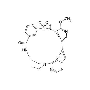 COc1ncc2cc1NS(=O)(=O)c1cccc(c1)C(=O)NCC1CCN(C1)c1ncnc3cc-2sc13